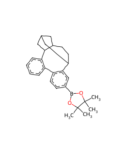 CC1(C)OB(c2ccc3c(c2)C2CCC4CC(C2)CC4c2ccccc2-3)OC1(C)C